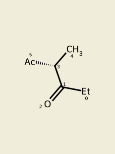 CCC(=O)[C@@H](C)C(C)=O